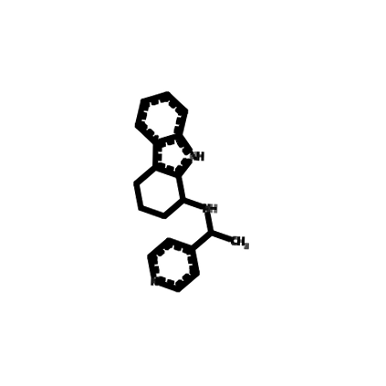 CC(NC1CCCc2c1[nH]c1ccccc21)c1ccncc1